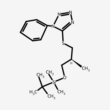 C[C@@H](CO[Si](C)(C)C(C)(C)C)CSc1nnnn1-c1ccccc1